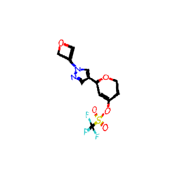 O=S(=O)(OC1=CC(c2cnn(C3COC3)c2)OCC1)C(F)(F)F